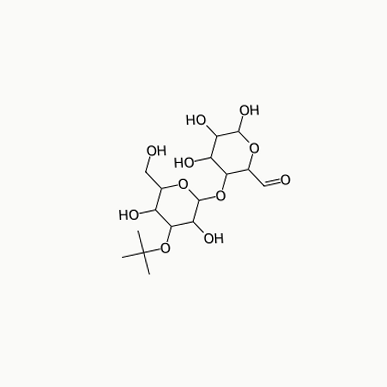 CC(C)(C)OC1C(O)C(CO)OC(OC2C(C=O)OC(O)C(O)C2O)C1O